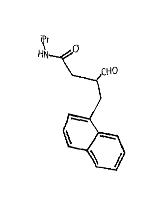 CC(C)NC(=O)CC([C]=O)Cc1cccc2ccccc12